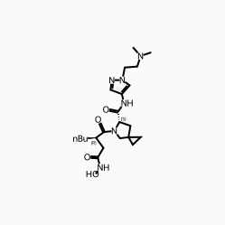 CCCC[C@H](CC(=O)NO)C(=O)N1CC2(CC2)C[C@H]1C(=O)Nc1cnn(CCN(C)C)c1